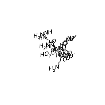 N=C(N)NCCC[C@H](N)C(=O)NCC(=O)N[C@@H](CC(=O)O)C(=O)N[C@H](Cc1ccccc1)C(=O)N[C@@H](CCCCN)C(=O)OP(=O)([O-])[O-].[Na+].[Na+]